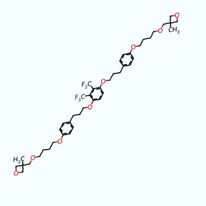 CC1(COCCCCOc2ccc(CCCOc3ccc(OCCCc4ccc(OCCCCOCC5(C)COC5)cc4)c(C(F)(F)F)c3C(F)(F)F)cc2)COC1